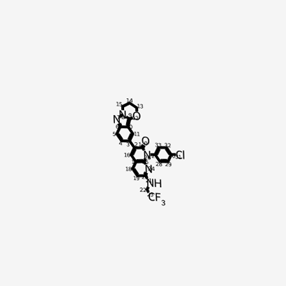 O=c1c(-c2ccc3nn4c(c3c2)OCCC4)cc2ccc(NCC(F)(F)F)nc2n1-c1ccc(Cl)cc1